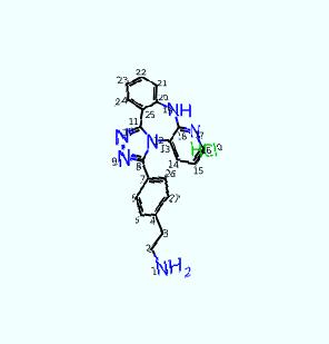 Cl.NCCc1ccc(-c2nnc3n2-c2cccnc2Nc2ccccc2-3)cc1